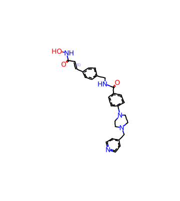 O=C(/C=C/c1ccc(CNC(=O)c2ccc(N3CCN(Cc4ccncc4)CC3)cc2)cc1)NO